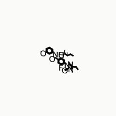 CCC[C@H](C)Oc1cc(-n2nc(CC)n(C)c2=O)c(F)cc1C(=O)Nc1cccc(OC)c1